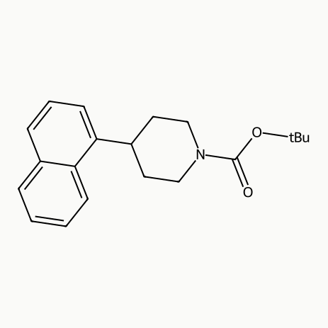 CC(C)(C)OC(=O)N1CCC(c2cccc3ccccc23)CC1